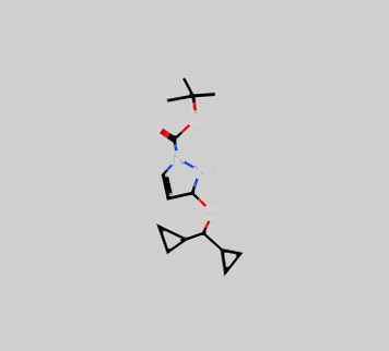 CC(C)(C)OC(=O)N1C=CC(OC(C2CC2)C2CC2)N1